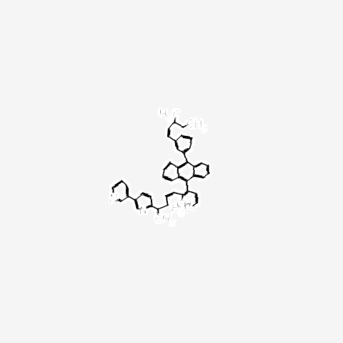 C\C=C/C(=C(C)/C=C\CC(C)c1ccc(-c2cccnc2)cn1)c1c2ccccc2c(-c2cccc(/C=C\C(C)CC)c2)c2ccccc12